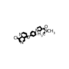 CN(C)C(=O)[C@@H]1CCN(c2ccc(Oc3ccnc4c(Cl)cncc34)cc2)C1